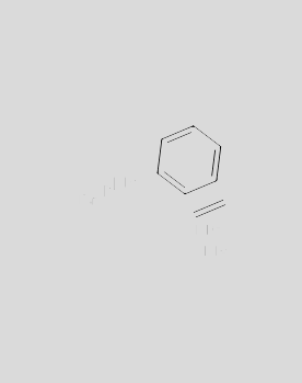 Br.Br.Br.Br.Br.C=C.c1ccccc1